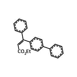 CCOC(=O)/C=C(/c1ccccc1)c1ccc(-c2ccccc2)cc1